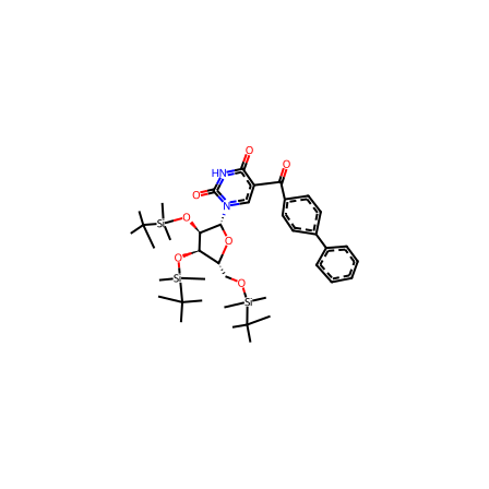 CC(C)(C)[Si](C)(C)OC[C@H]1O[C@@H](n2cc(C(=O)c3ccc(-c4ccccc4)cc3)c(=O)[nH]c2=O)[C@H](O[Si](C)(C)C(C)(C)C)[C@@H]1O[Si](C)(C)C(C)(C)C